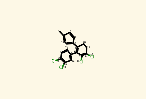 Cc1ccc(C2=C(c3ccc(Cl)c(Cl)c3)C(Cl)=C(Cl)[CH]C2)cc1